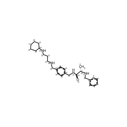 C[C@H](NCc1ccccn1)C(=O)NCc1ccc(CNCCCNC2CCCCC2)cc1